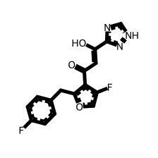 O=C(C=C(O)c1nc[nH]n1)c1c(F)coc1Cc1ccc(F)cc1